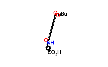 CCCCOC(=O)CCCCCCCCCCCCCCC(=O)NCc1ccc(C(=O)O)cc1